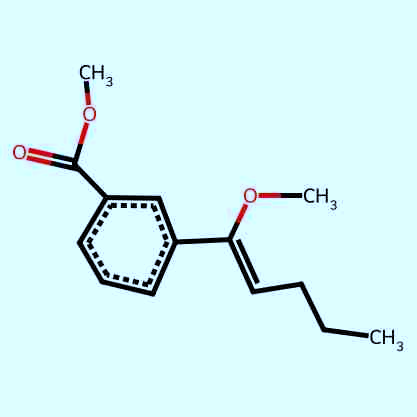 CCCC=C(OC)c1cccc(C(=O)OC)c1